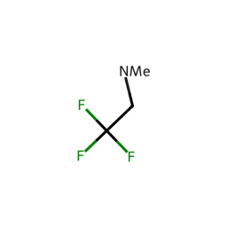 [C]NCC(F)(F)F